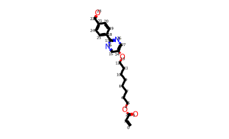 C=CC(=O)OCCCCCCCCOc1cnc(-c2ccc(C=O)cc2)nc1